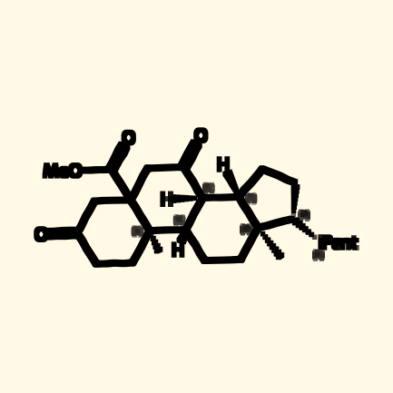 CCC[C@@H](C)[C@H]1CC[C@H]2[C@@H]3C(=O)CC4(C(=O)OC)CC(=O)CC[C@]4(C)[C@H]3CC[C@]12C